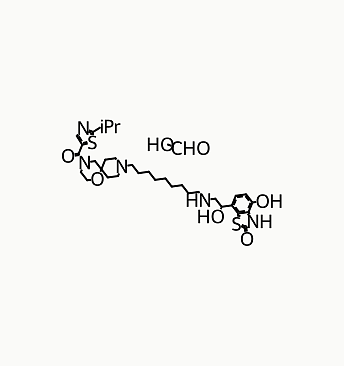 CC(C)c1ncc(C(=O)N2CCOC3(CCN(CCCCCCCCCNC[C@H](O)c4ccc(O)c5[nH]c(=O)sc45)CC3)C2)s1.O=CO